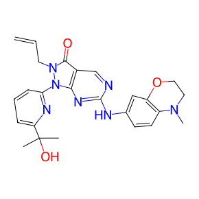 C=CCn1c(=O)c2cnc(Nc3ccc4c(c3)OCCN4C)nc2n1-c1cccc(C(C)(C)O)n1